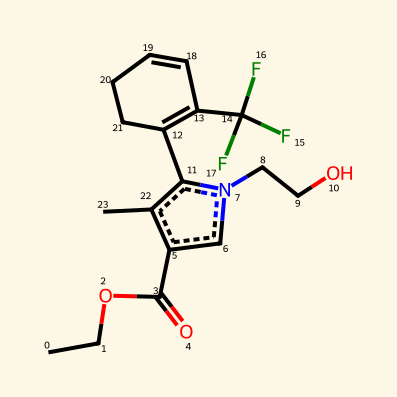 CCOC(=O)c1cn(CCO)c(C2=C(C(F)(F)F)C=CCC2)c1C